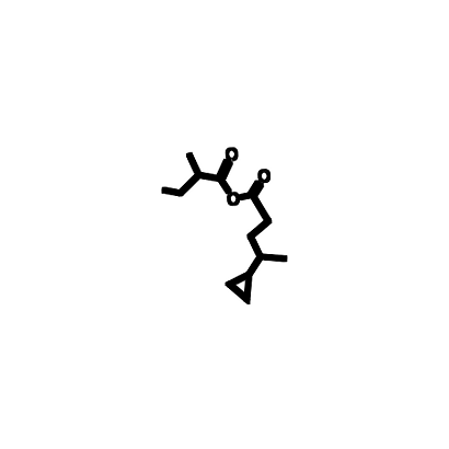 CCC(C)C(=O)OC(=O)CCC(C)C1CC1